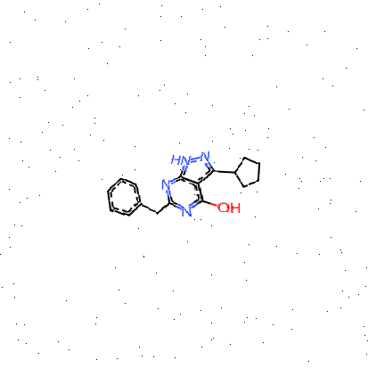 Oc1nc(Cc2ccccc2)nc2[nH]nc(C3CCCC3)c12